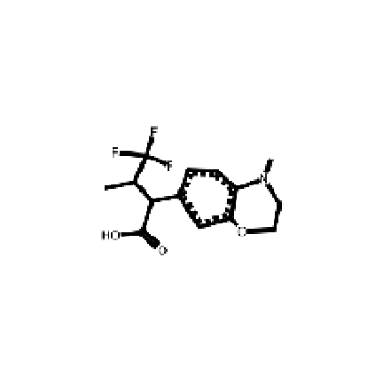 CC(C(C(=O)O)c1ccc2c(c1)OCCN2C)C(F)(F)F